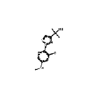 CNc1cnc(-n2ncc(C(C)(C)O)n2)c(Cl)c1